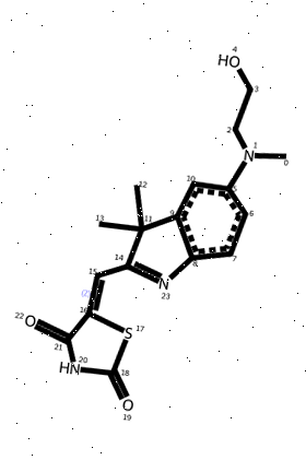 CN(CCO)c1ccc2c(c1)C(C)(C)C(/C=C1\SC(=O)NC1=O)=N2